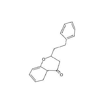 O=C1CC(CCc2ccccc2)OC2=CC=CCC12